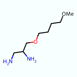 COCCCCOCC(N)CN